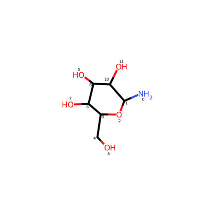 NC1OC(CO)C(O)C(O)C1O